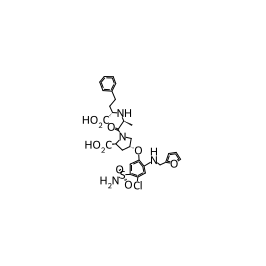 C[C@H](N[C@@H](CCc1ccccc1)C(=O)O)C(=O)N1C[C@H](Oc2cc(S(N)(=O)=O)c(Cl)cc2NCc2ccco2)C[C@H]1C(=O)O